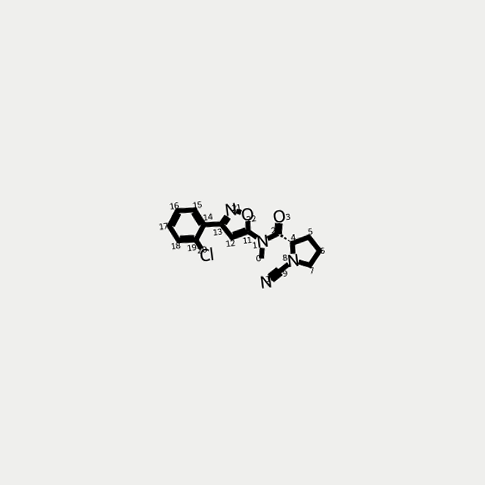 CN(C(=O)[C@@H]1CCCN1C#N)c1cc(-c2ccccc2Cl)no1